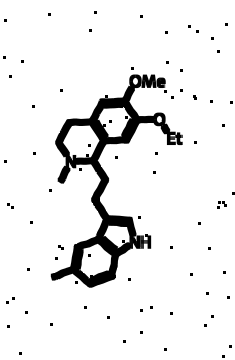 CCOc1cc2c(cc1OC)CCN(C)C2CCc1c[nH]c2ccc(C)cc12